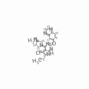 CCc1[nH]c2nc(Oc3ccc4nccnc4c3)nc(N3CC[C@@H](N)C3)c2c1Cl